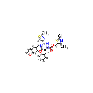 Cc1nc(CN(Cc2ccc3occc3c2)C(=O)[C@H](Cc2ccccc2)NC(=O)OCc2sc(C)nc2C)cs1